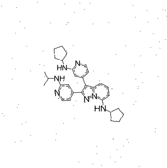 CC(C)Nc1cc(-c2nn3c(NC4CCCC4)cccc3c2-c2ccnc(NC3CCCC3)c2)ccn1